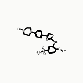 CC(C)Oc1ccc(S(N)(=O)=O)cc1Nc1nc(-c2ccc(N3CCN(C(C)C)CC3)cc2)cs1